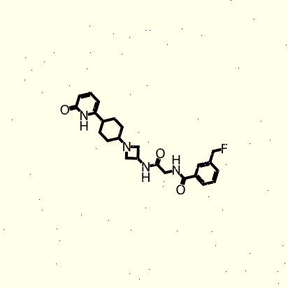 O=C(CNC(=O)c1cccc(CF)c1)NC1CN(C2CCC(c3cccc(=O)[nH]3)CC2)C1